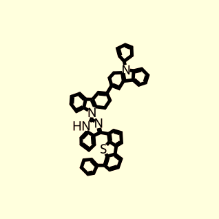 C1=CCC(n2c3c(c4ccccc42)C=C(C2=Cc4c(n(C5N=C(c6cccc7c6sc6c(C8=CCCC=C8)cccc67)c6ccccc6N5)c5ccccc45)CC2)CC3)C=C1